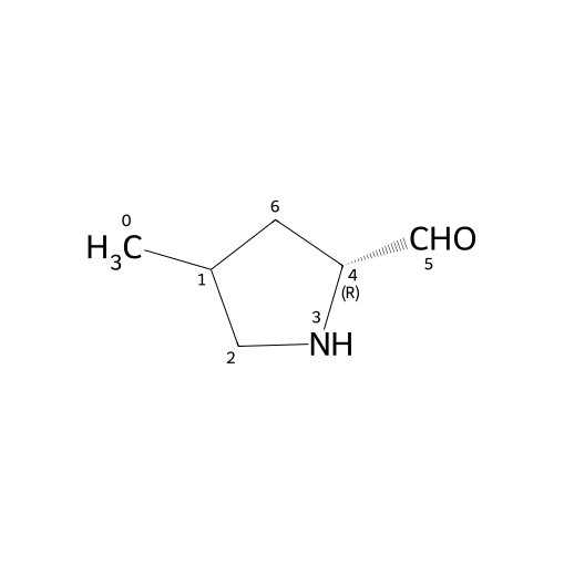 CC1CN[C@@H](C=O)C1